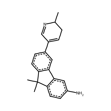 CC1CC=C(c2ccc3c(c2)-c2cc(N)ccc2C3(C)C)C=N1